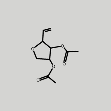 C=CC1OCC(OC(C)=O)C1OC(C)=O